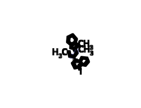 CC/C=C(\C=C1/CC2=C(CCC=C2)C1(C)C)[C@@H]1C=CC(I)=C2C=CCCC21